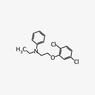 CCN(CCOc1cc(Cl)ccc1Cl)c1ccccc1